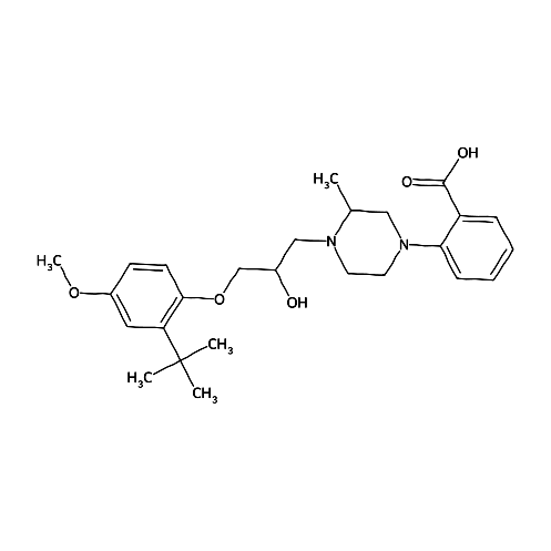 COc1ccc(OCC(O)CN2CCN(c3ccccc3C(=O)O)CC2C)c(C(C)(C)C)c1